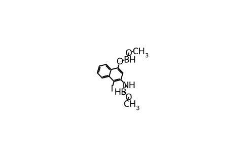 COBNc1cc(OBOC)c2ccccc2c1I